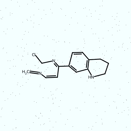 C=N/C=C\C(=N/CCl)c1ccc2c(c1)NCCC2